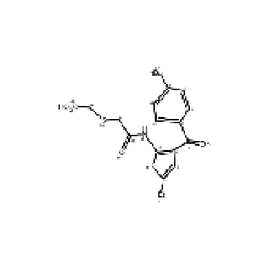 CCc1cc(C(=O)c2ccc(C(C)(C)C)cc2)c(NC(=O)CSCC(=O)O)s1